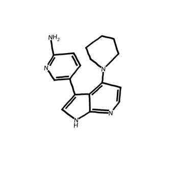 Nc1ccc(-c2c[nH]c3nccc(N4CCCCC4)c23)cn1